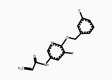 C=CC(=O)Nc1cnc(OCc2cccc(F)c2)c(F)c1